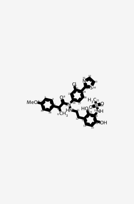 COc1ccc(C(C)C(=O)N(NCCc2ccc(O)c(NS(C)(=O)=O)c2O)c2ccc(-c3nccs3)c(Cl)c2)cc1